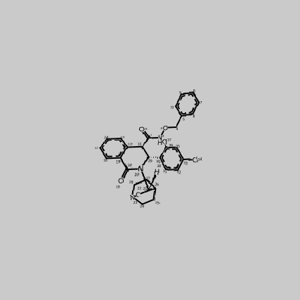 O=C(NOCc1ccccc1)[C@@H]1c2ccccc2C(=O)N([C@H]2CN3CCC2CC3)[C@H]1c1ccc(Cl)cc1Cl